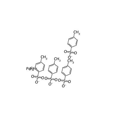 Cc1ccc(S(=O)(=O)[O-])cc1.Cc1ccc(S(=O)(=O)[O-])cc1.Cc1ccc(S(=O)(=O)[O-])cc1.Cc1ccc(S(=O)(=O)[O-])cc1.[Pd+2].[Pd+2]